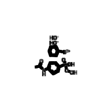 CC(=O)Nc1ccc([As](=O)(O)OO)cc1.[B+2]c1ccccc1.[OH-].[OH-]